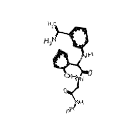 C=C(N)c1cccc(NC(C(=O)NCC(=O)NCCC)c2ccccc2O)c1